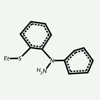 CCSc1ccccc1N(N)c1ccccc1